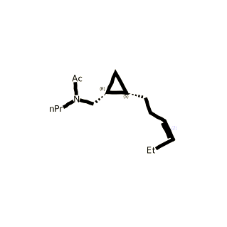 CC/C=C\CC[C@H]1C[C@H]1CN(CCC)C(C)=O